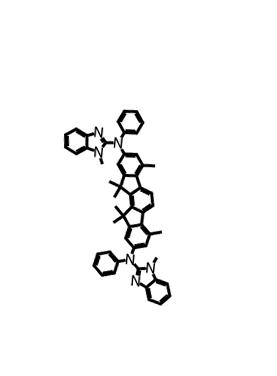 Cc1cc(N(c2ccccc2)c2nc3ccccc3n2C)cc2c1-c1ccc3c(c1C2(C)C)C(C)(C)c1cc(N(c2ccccc2)c2nc4ccccc4n2C)cc(C)c1-3